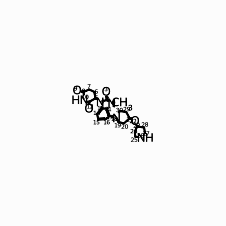 Cn1c(=O)n(C2CCC(=O)NC2=O)c2cccc(N3CCC(OC4CCNCC4)CC3)c21